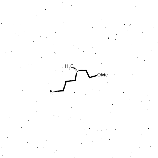 COCCN(C)CCCBr